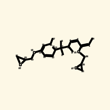 C/C=C(\C=C/C(C)C(C)(C)C(C)/C=C\C(=C/CC)OCC1CO1)OCC1CO1